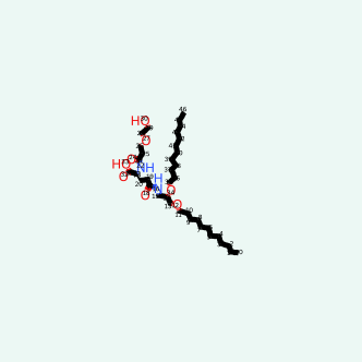 CCCCCCCCCCCCOCC(CNC(=O)CC[C@H](NC(=O)CCOCCO)C(=O)O)OCCCCCCCCCCCC